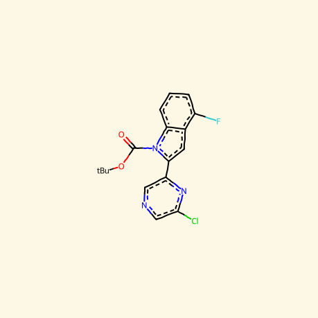 CC(C)(C)OC(=O)n1c(-c2cncc(Cl)n2)cc2c(F)cccc21